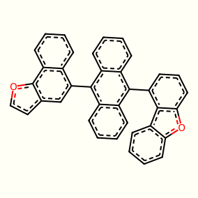 c1ccc2c(c1)oc1cccc(-c3c4ccccc4c(-c4cc5ccoc5c5ccccc45)c4ccccc34)c12